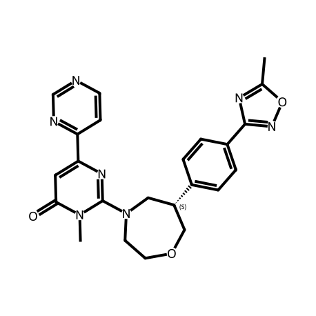 Cc1nc(-c2ccc([C@@H]3COCCN(c4nc(-c5ccncn5)cc(=O)n4C)C3)cc2)no1